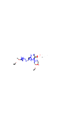 C=CCOC(CC(C)C)c1cn(Cc2cc3nc(C)c([C@H](OC(C)(C)C)C(=O)OCC)c(N4CCC(C)(OCC=C)CC4)n3n2)nn1